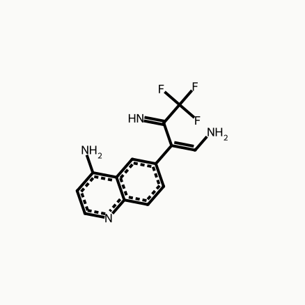 N=C(/C(=C\N)c1ccc2nccc(N)c2c1)C(F)(F)F